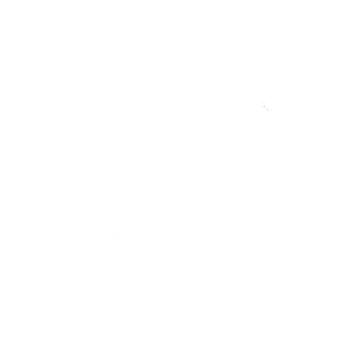 O=C1CCCc2cc(C#Cc3ccncc3)ccc21